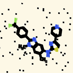 Cc1cc2c(cc1Nc1nc(-c3ccncc3)cs1)nc(-c1ccc(C(F)F)cc1)n2C